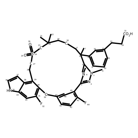 Cn1nc2nc1C(C)(c1cccc(CCC(=O)O)c1)CCCC(C)(C)CS(=O)(=O)CCc1c(c(F)cc3[nH]ccc13)Oc1ccc(F)c-2c1